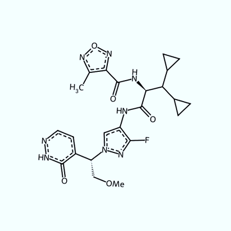 COC[C@H](c1ccn[nH]c1=O)n1cc(NC(=O)[C@@H](NC(=O)c2nonc2C)C(C2CC2)C2CC2)c(F)n1